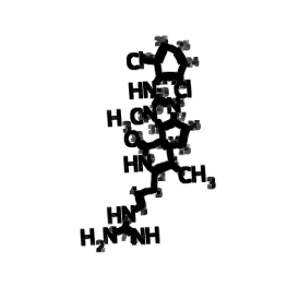 Cc1c(CC=CNC(=N)N)[nH]c(=O)c2c1ccc1nc(Nc3c(Cl)cccc3Cl)n(C)c12